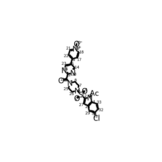 CC(=O)n1c(S(=O)(=O)N2CCN(C(=O)c3ncc(-c4cc[n+]([O-])cc4)cn3)CC2)cc2cc(Cl)ccc21